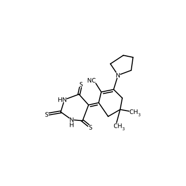 CC1(C)CC(=C2C(=S)NC(=S)NC2=S)C(C#N)=C(N2CCCC2)C1